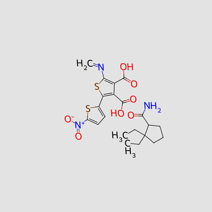 C=Nc1sc(-c2ccc([N+](=O)[O-])s2)c(C(=O)O)c1C(=O)O.CCC1(CC)CCCC1C(N)=O